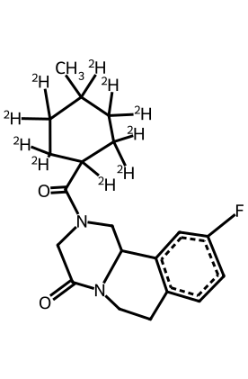 [2H]C1([2H])C([2H])([2H])C([2H])(C(=O)N2CC(=O)N3CCc4ccc(F)cc4C3C2)C([2H])([2H])C([2H])([2H])C1([2H])C